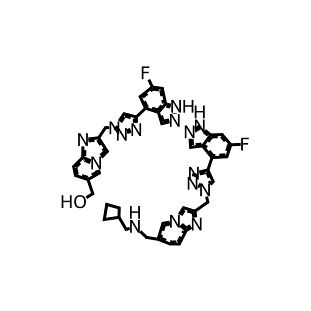 Fc1cc(-c2cn(Cc3cn4cc(CNCC5CCC5)ccc4n3)nn2)c2cn[nH]c2c1.OCc1ccc2nc(Cn3cc(-c4cc(F)cc5[nH]ncc45)nn3)cn2c1